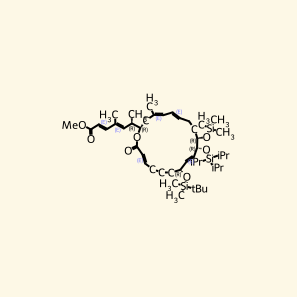 COC(=O)/C=C/C(C)=C/[C@@H](C)[C@H]1C/C(C)=C/C=C/CC[C@@H](O[Si](C)(C)C)[C@H](O[Si](C(C)C)(C(C)C)C(C)C)/C=C/[C@H](O[Si](C)(C)C(C)(C)C)CCC/C=C/C(=O)O1